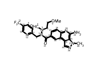 COCCN(C=O)N(Cc1ccc(C(F)(F)F)cn1)C(=O)c1ccc2nc(N)c3c(cnn3C)c2c1